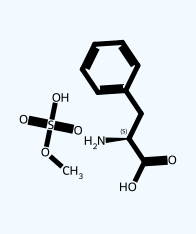 COS(=O)(=O)O.N[C@@H](Cc1ccccc1)C(=O)O